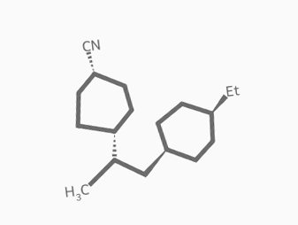 CC[C@H]1CC[C@@H](CC(C)[C@H]2CC[C@@H](C#N)CC2)CC1